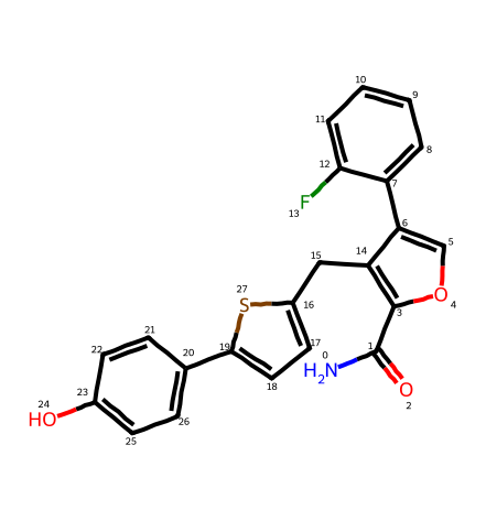 NC(=O)c1occ(-c2ccccc2F)c1Cc1ccc(-c2ccc(O)cc2)s1